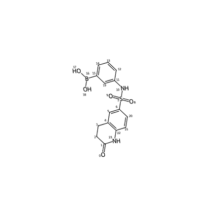 O=C1CCc2cc(S(=O)(=O)Nc3cccc(B(O)O)c3)ccc2N1